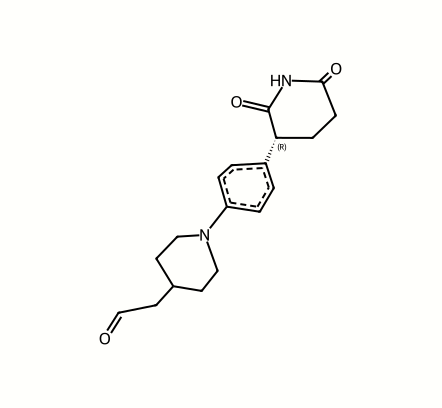 O=CCC1CCN(c2ccc([C@H]3CCC(=O)NC3=O)cc2)CC1